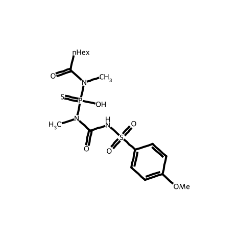 CCCCCCC(=O)N(C)P(O)(=S)N(C)C(=O)NS(=O)(=O)c1ccc(OC)cc1